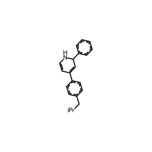 CC(C)Cc1ccc(C2=CC(c3ccccc3)NC=C2)cc1